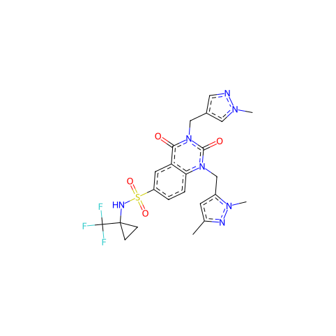 Cc1cc(Cn2c(=O)n(Cc3cnn(C)c3)c(=O)c3cc(S(=O)(=O)NC4(C(F)(F)F)CC4)ccc32)n(C)n1